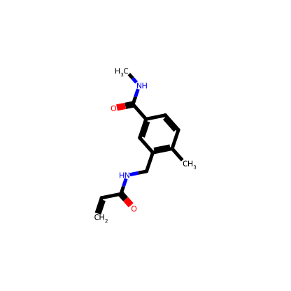 C=CC(=O)NCc1cc(C(=O)NC)ccc1C